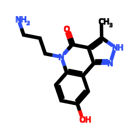 Cc1[nH]nc2c1c(=O)n(CCCN)c1ccc(O)cc21